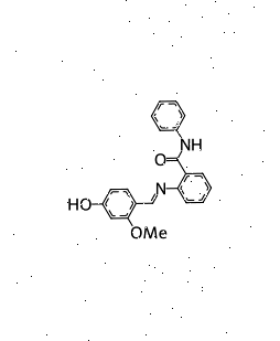 COc1cc(O)ccc1/C=N/c1ccccc1C(=O)Nc1ccccc1